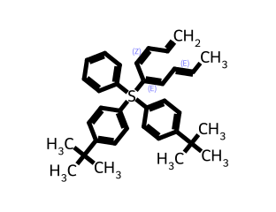 C=C\C=C/C(=C\C=C\C)S(c1ccccc1)(c1ccc(C(C)(C)C)cc1)c1ccc(C(C)(C)C)cc1